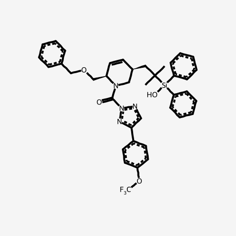 CC(C)(C[C@@H]1C=C[C@H](COCc2ccccc2)N(C(=O)n2ncc(-c3ccc(OC(F)(F)F)cc3)n2)C1)[Si](O)(c1ccccc1)c1ccccc1